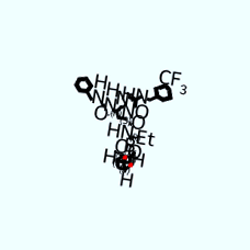 CC[C@H](NC(=O)[C@@H]1C[C@@](C)(NC(=O)NCc2ccccc2)c2ncc(NCc3cccc(C(F)(F)F)c3)c(=O)n21)B1O[C@@H]2C[C@@H]3C[C@@H](C3(C)C)[C@]2(C)O1